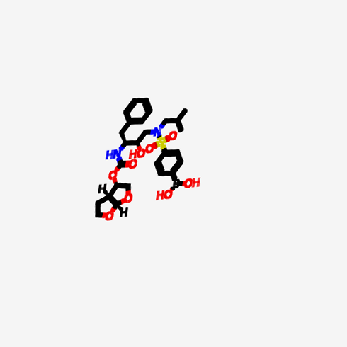 CC(C)CN(C[C@@H](O)[C@H](Cc1ccccc1)NC(=O)O[C@H]1CO[C@H]2OCC[C@H]21)S(=O)(=O)c1ccc(B(O)O)cc1